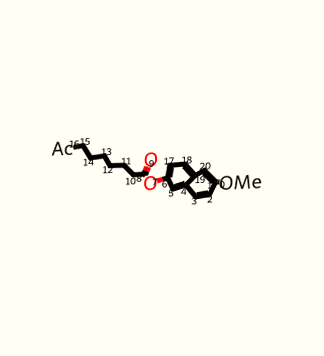 COc1ccc2cc(OC(=O)CCCCCCC(C)=O)ccc2c1